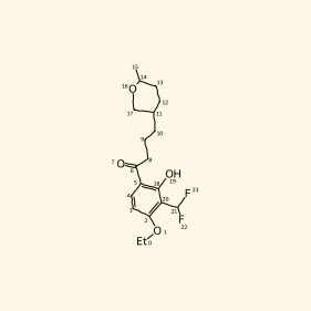 CCOc1ccc(C(=O)CCCC2CCC(C)OC2)c(O)c1C(F)F